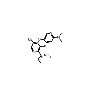 CC[C@@H](N)c1ccc(Cl)c(Oc2ccc(N(C)C)nc2)c1F